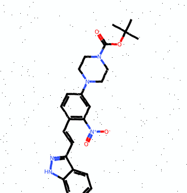 CC(C)(C)OC(=O)N1CCN(c2ccc(/C=C/c3n[nH]c4ccccc34)c([N+](=O)[O-])c2)CC1